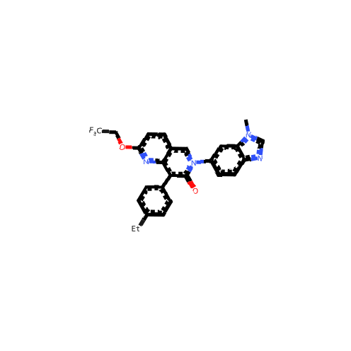 CCc1ccc(-c2c(=O)n(-c3ccc4ncn(C)c4c3)cc3ccc(OCC(F)(F)F)nc23)cc1